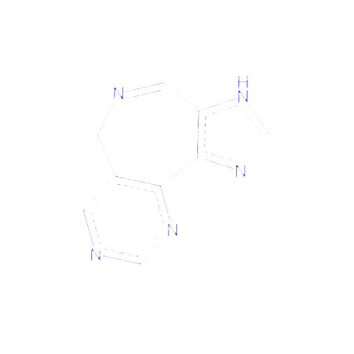 C1=NCc2cncnc2-c2nc[nH]c21